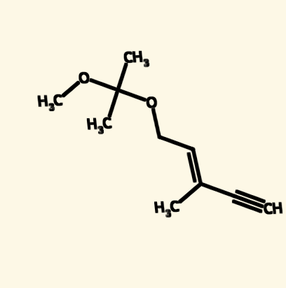 C#C/C(C)=C/COC(C)(C)OC